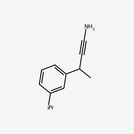 CC(C)c1cccc(C(C)C#CN)c1